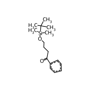 CC(C)(C)[Si](C)(C)OCCCC(=O)c1ccccc1